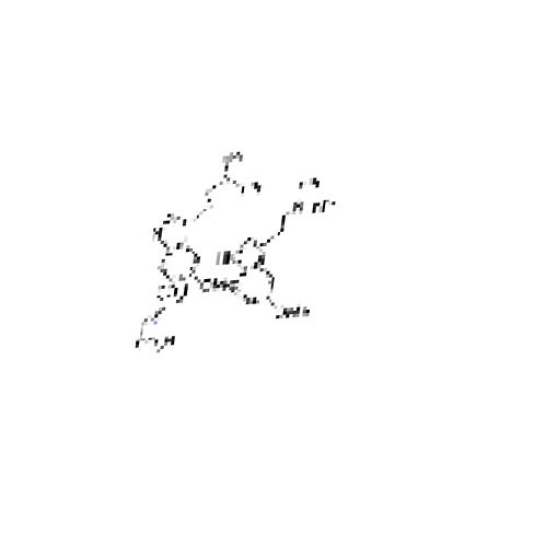 CCCN(CCC)CCc1c[nH]c2ccc(OC)cc12.CCCN(CCC)CCc1c[nH]c2ccc(OC)cc12.O=C(O)/C=C/C(=O)O